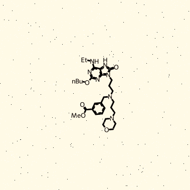 CCCCOc1nc(NCC)c2[nH]c(=O)n(CCCN(CCCN3CCOCC3)Cc3cccc(C(=O)OC)c3)c2n1